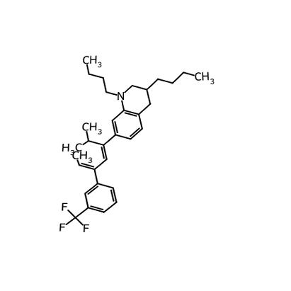 C/C=C(\C=C(\c1ccc2c(c1)N(CCCC)CC(CCCC)C2)C(C)C)c1cccc(C(F)(F)F)c1